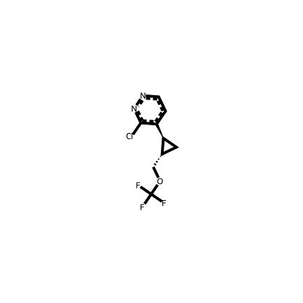 FC(F)(F)OC[C@H]1C[C@@H]1c1ccnnc1Cl